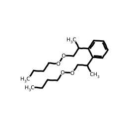 CCCCOOCC(C)c1ccccc1C(C)COOCCCC